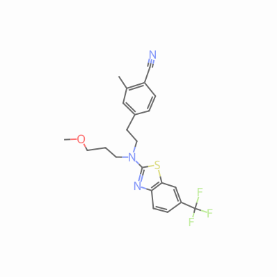 COCCCN(CCc1ccc(C#N)c(C)c1)c1nc2ccc(C(F)(F)F)cc2s1